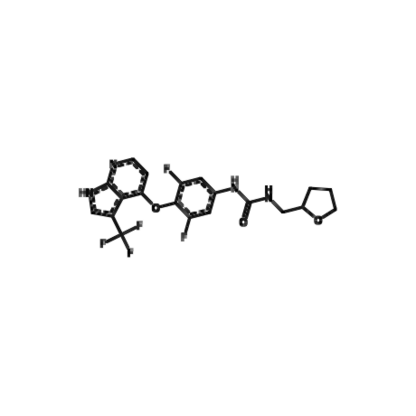 O=C(NCC1CCCO1)Nc1cc(F)c(Oc2ccnc3[nH]cc(C(F)(F)F)c23)c(F)c1